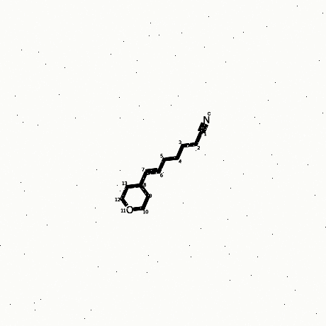 N#CCCCC/C=C/C1CCOCC1